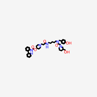 O=C(CCN1CCC(OC(=O)Nc2ccccc2-c2ccccc2)CC1)NCCCCCN(Cc1ccc(O)cc1)C(=O)CN1CCCC(CO)C1